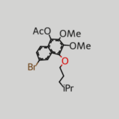 COc1c(OC)c(OC(C)=O)c2ccc(Br)cc2c1OCCCC(C)C